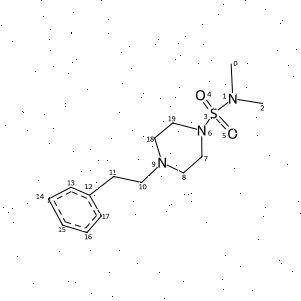 CN(C)S(=O)(=O)N1CCN(CCc2c[c]ccc2)CC1